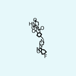 O=C1CCN(N2C(=O)c3ccc(CN4CCN(c5noc6cc(F)ccc56)CC4)cc3C2=O)C(=O)N1